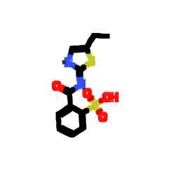 CCC1=C[N]C(=NC(=O)c2ccccc2S(=O)(=O)O)S1